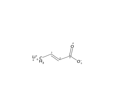 CC=CC(=O)[O-].[Li+]